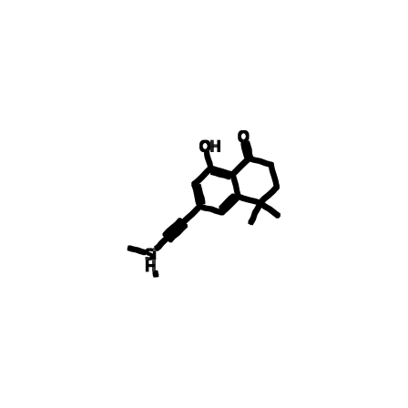 C[SiH](C)C#Cc1cc(O)c2c(c1)C(C)(C)CCC2=O